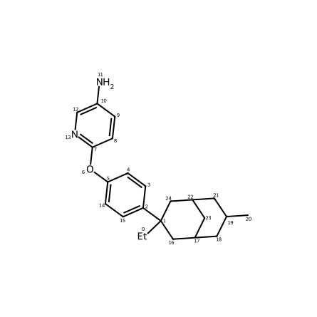 CCC1(c2ccc(Oc3ccc(N)cn3)cc2)CC2CC(C)CC(C2)C1